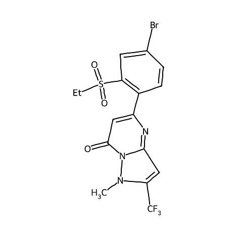 CCS(=O)(=O)c1cc(Br)ccc1-c1cc(=O)n2c(cc(C(F)(F)F)n2C)n1